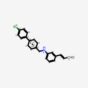 O=C/C=C/c1cccc(NCC23CCC(c4ccc(Br)cc4)(CC2)CC3)c1